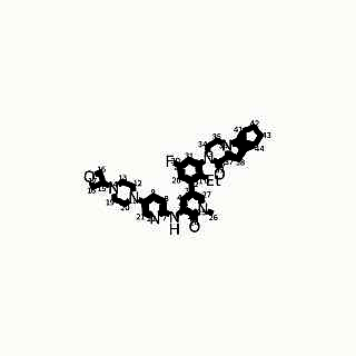 CCc1c(-c2cc(Nc3ccc(N4CCN(C5COC5)CC4)cn3)c(=O)n(C)c2)cc(F)cc1N1CCn2c(cc3c2C2CCC3C2)C1=O